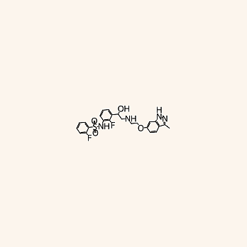 Cc1n[nH]c2cc(OCCNC[C@H](O)c3cccc(NS(=O)(=O)c4ccccc4F)c3F)ccc12